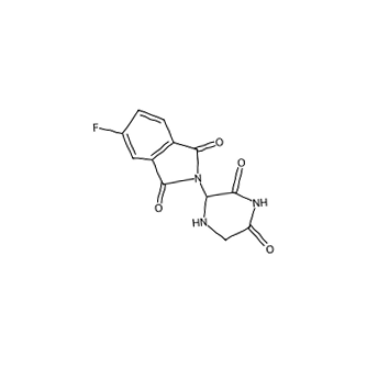 O=C1CNC(N2C(=O)c3ccc(F)cc3C2=O)C(=O)N1